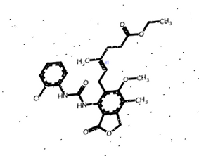 CCOC(=O)CC/C(C)=C/Cc1c(NC(=O)Nc2ccccc2Cl)c2c(c(C)c1OC)COC2=O